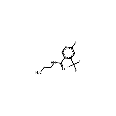 CCCNC(=O)c1ccc(F)cc1C(F)(F)F